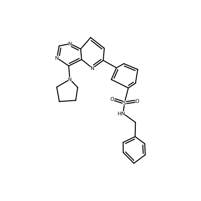 O=S(=O)(NCc1ccccc1)c1cccc(-c2ccc3ncnc(N4CCCC4)c3n2)c1